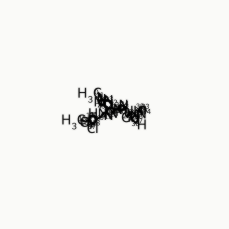 CCn1ncc2c3c(NCc4ccc(OC)c(Cl)c4)nnc(-n4cnc(NC(=O)[N+]5(C[C@@H]6CCCN6)CCCC5)c4)c3cnc21